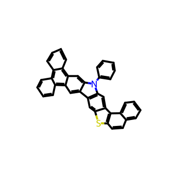 c1ccc(-n2c3cc4c5ccccc5c5ccccc5c4cc3c3cc4sc5ccc6ccccc6c5c4cc32)cc1